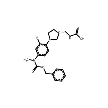 CN(C(=O)OCc1ccccc1)c1ccc(N2CC[C@H](CNC(=O)O)C2)c(F)c1